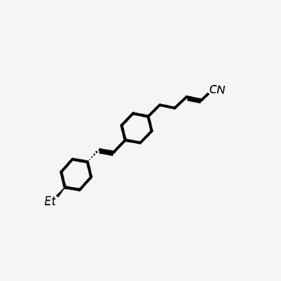 CC[C@H]1CC[C@H](C=CC2CCC(CCC=CC#N)CC2)CC1